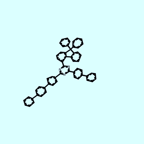 c1ccc(-c2ccc(-c3ccc(-c4nc(-c5ccc(-c6ccccc6)cc5)nc(-c5cccc6c5-c5ccccc5C6(c5ccccc5)c5ccccc5)n4)cc3)cc2)cc1